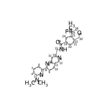 CN(C)c1cccc(-c2ccc3cnc(CNC(=O)c4ccc5c(c4)[C@](C)(F)COC5)cc3n2)n1